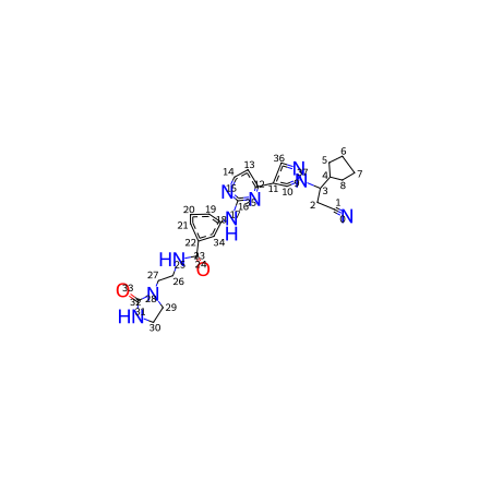 N#CCC(C1CCCC1)n1cc(-c2ccnc(Nc3cccc(C(=O)NCCN4CCNC4=O)c3)n2)cn1